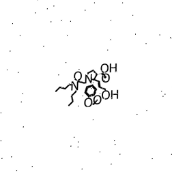 CCCCN(CCCC)C(=O)CN1CC[C@H](C(=O)O)[C@]1(C=CCO)c1ccc2c(c1)OCO2